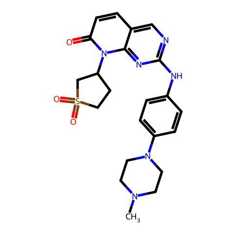 CN1CCN(c2ccc(Nc3ncc4ccc(=O)n(C5CCS(=O)(=O)C5)c4n3)cc2)CC1